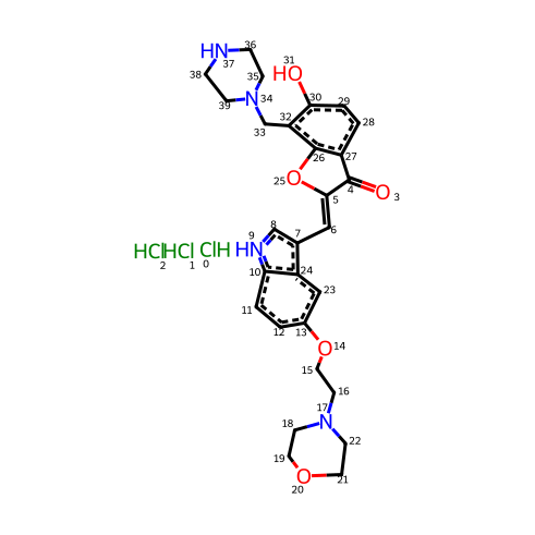 Cl.Cl.Cl.O=C1/C(=C/c2c[nH]c3ccc(OCCN4CCOCC4)cc23)Oc2c1ccc(O)c2CN1CCNCC1